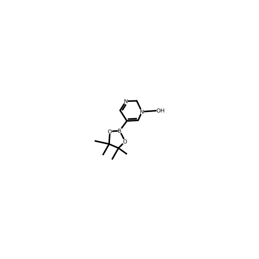 CC1(C)OB(C2=CN(O)CN=C2)OC1(C)C